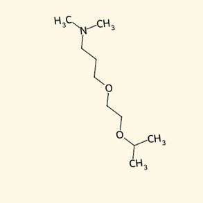 CC(C)OCCOCCCN(C)C